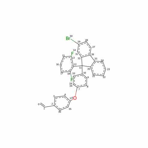 C=Cc1ccc(Oc2ccc(C3(c4c(F)cccc4F)c4ccccc4-c4ccc(Br)cc43)cc2)cc1